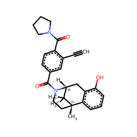 C#Cc1cc(C(=O)N2CC[C@@]3(C)c4cccc(O)c4C[C@@H]2C3(C)C)ccc1C(=O)N1CCCC1